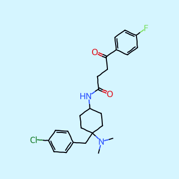 CN(C)C1(Cc2ccc(Cl)cc2)CCC(NC(=O)CCC(=O)c2ccc(F)cc2)CC1